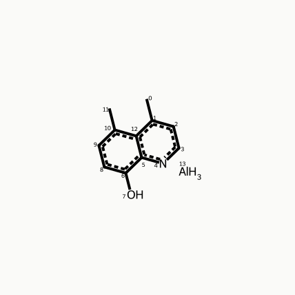 Cc1ccnc2c(O)ccc(C)c12.[AlH3]